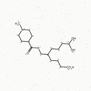 CN1CCC(C(=O)OCC(CCCC(=O)O)CCCC(O)O)CC1